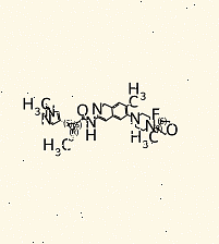 CC[C@H]1[C@H](C(=O)Nc2cc3cc(N4CCN([C@@]5(C)COC[C@H]5F)CC4)c(C)cc3cn2)[C@H]1c1cnn(C)c1